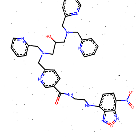 O=C(NCCNc1ccc([N+](=O)[O-])c2nonc12)c1ccc(CN(Cc2ccccn2)CC(O)CN(Cc2ccccn2)Cc2ccccn2)nc1